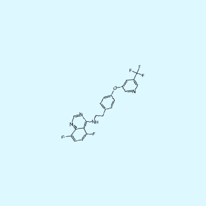 Fc1ccc(F)c2c(NCCc3ccc(Oc4cncc(C(F)(F)F)c4)cc3)ncnc12